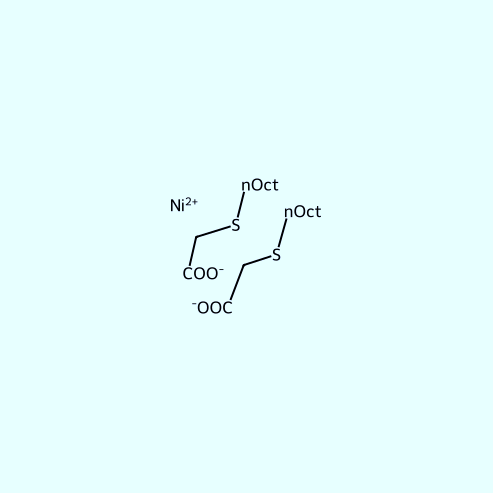 CCCCCCCCSCC(=O)[O-].CCCCCCCCSCC(=O)[O-].[Ni+2]